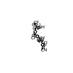 N#CCOc1ccc(-c2cnc3c(Nc4ccc(C(=O)N5CCC(C(=O)N6CCNCC6COC(=O)C(F)(F)F)CC5)c(Cl)c4)nccn23)c(Cl)c1F